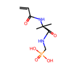 C=CC(=O)NC(C)(C)C(=O)NCP(=O)(O)O